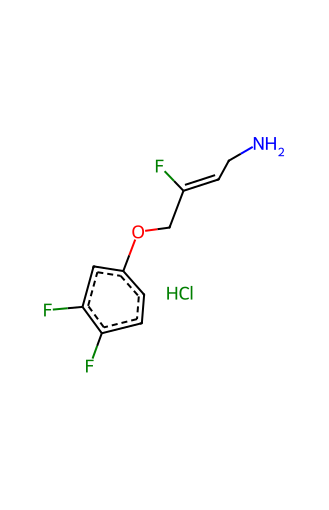 Cl.NCC=C(F)COc1ccc(F)c(F)c1